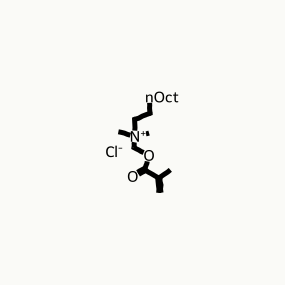 C=C(C)C(=O)OC[N+](C)(C)CCCCCCCCCC.[Cl-]